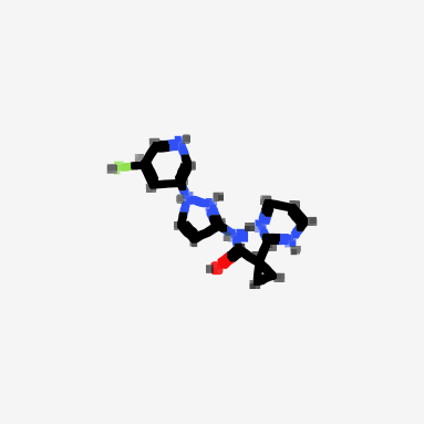 O=C(Nc1ccn(-c2cncc(F)c2)n1)C1(c2ncccn2)CC1